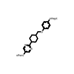 CCCCCCCc1ccc(OCC2CCC(c3ncc(CCCCC)cn3)CC2)cc1